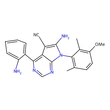 COc1ccc(C)c(-n2c(N)c(C#N)c3c(-c4ccccc4N)ncnc32)c1C